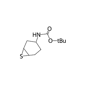 CC(C)(C)OC(=O)NC1CCC2SC2C1